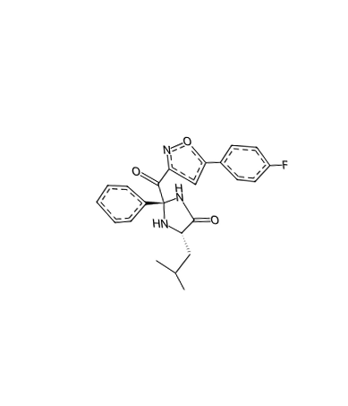 CC(C)C[C@@H]1N[C@@](C(=O)c2cc(-c3ccc(F)cc3)on2)(c2ccccc2)NC1=O